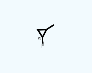 CC1C[C@@H]1F